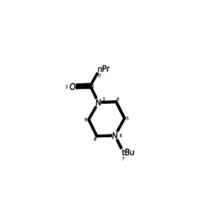 CCCC(=O)N1CCN(C(C)(C)C)CC1